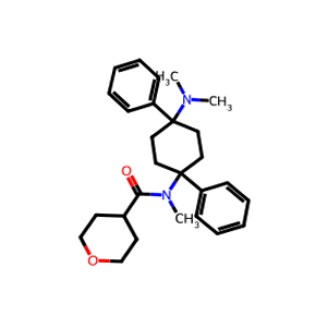 CN(C)C1(c2ccccc2)CCC(c2ccccc2)(N(C)C(=O)C2CCOCC2)CC1